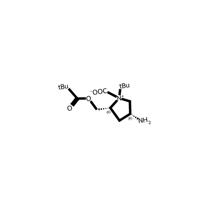 CC(C)(C)C(=O)OC[C@H]1C[C@@H](N)C[N+]1(C(=O)[O-])C(C)(C)C